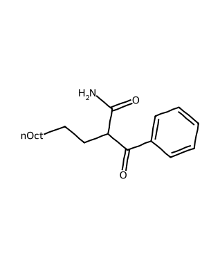 CCCCCCCCCCC(C(N)=O)C(=O)c1ccccc1